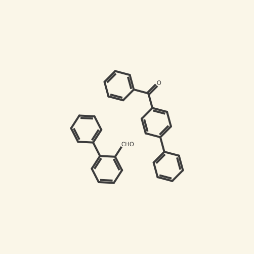 O=C(c1ccccc1)c1ccc(-c2ccccc2)cc1.O=Cc1ccccc1-c1ccccc1